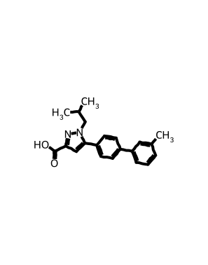 Cc1cccc(-c2ccc(-c3cc(C(=O)O)nn3CC(C)C)cc2)c1